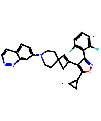 Fc1cccc(F)c1-c1noc(C2CC2)c1C1=CC2(CCN(c3ccc4ccnnc4c3)CC2)C1